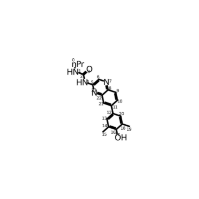 CCCNC(=O)Nc1cnc2ccc(-c3cc(C)c(O)c(C)c3)cc2n1